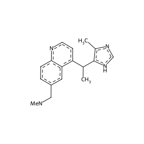 CNCc1ccc2nccc(C(C)c3[nH]cnc3C)c2c1